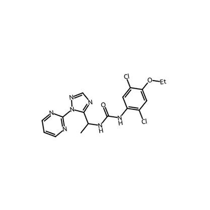 CCOc1cc(Cl)c(NC(=O)NC(C)c2ncnn2-c2ncccn2)cc1Cl